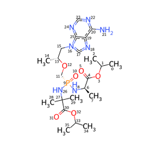 CC(C)OC(=O)[C@@H](C)N[P@@](=O)(CO[C@H](C)Cn1cnc2c(N)ncnc21)NC(C)(C)C(=O)OC(C)C